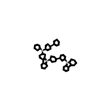 c1ccc(-c2ccc(N(c3ccccc3)c3ccc4c5ccccc5n(-c5ccc(-c6cccc(-n7c8ccccc8c8ccccc87)c6)cc5)c4c3)cc2)cc1